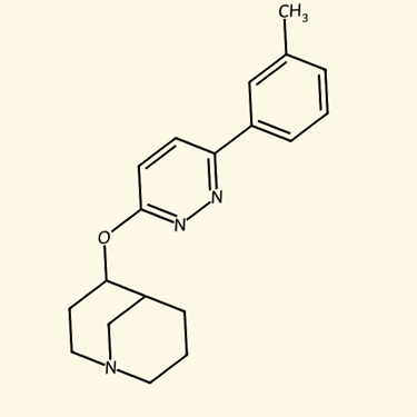 Cc1cccc(-c2ccc(OC3CCN4CCCC3C4)nn2)c1